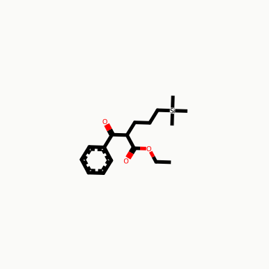 CCOC(=O)C(CCC[Si](C)(C)C)C(=O)c1ccccc1